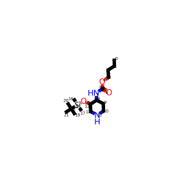 CCCCOC(=O)NC1CCNCC1O[Si](C)(C)C(C)(C)C